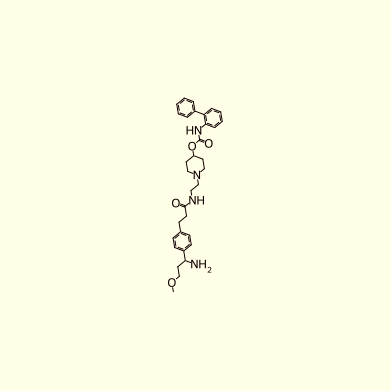 COCCC(N)c1ccc(CCC(=O)NCCN2CCC(OC(=O)Nc3ccccc3-c3ccccc3)CC2)cc1